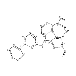 CCc1cc(O)c2c3c(C(=O)OC)cccc3n(Cc3cccc(-c4ccccc4)c3)c2c1